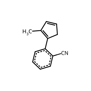 CC1=C(c2ccccc2C#N)CC=C1